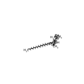 CCCCCCCCCCCCCCCCCCOCC(COP(=O)(O)OCC([O-])[N+](C)(C)C)OC(C)=O